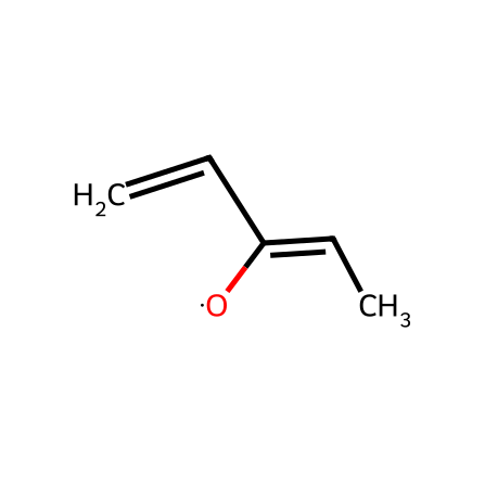 C=C/C([O])=C/C